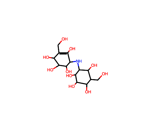 OCC1=C(O)C(NC2C(O)C(O)C(O)C(CO)C2O)C(O)C(O)C1O